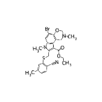 CCOC(=O)c1c(CSc2cc(C)ccc2C#N)n(C)c2cc(Br)c3c(c12)CN(C)CO3